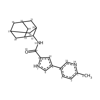 Cc1ccc(-c2c[nH]c(C(=O)NC3C4CC5CC(C4)CC3C5)c2)cn1